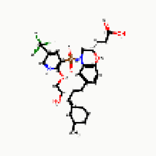 CC1CCC/C(=C\CCc2ccc3c(c2)N(S(=O)(=O)c2cc(C(F)(F)F)cnc2OCCO)C[C@H](CCC(=O)O)O3)C1